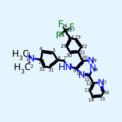 CN(C)c1ccc(CNc2nc(-c3ccccn3)nnc2-c2ccc(C(F)(F)F)cc2)cc1